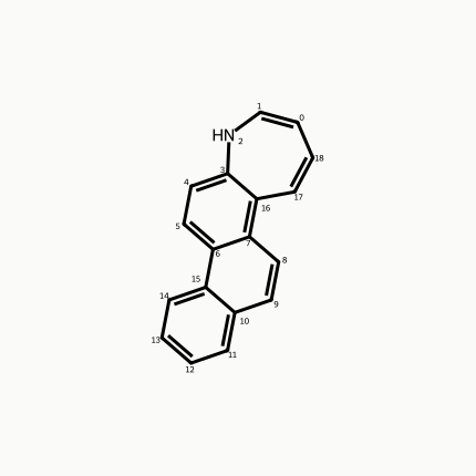 C1=CNc2ccc3c(ccc4ccccc43)c2C=C1